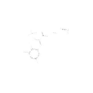 O=C(OCO/N=[NH+]\[O-])C1=Cc2cc(Cl)cc(Cl)c2O[C@@H]1C(F)(F)F